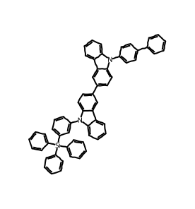 c1ccc(-c2ccc(-n3c4ccccc4c4cc(-c5ccc6c(c5)c5ccccc5n6-c5cccc([Si](c6ccccc6)(c6ccccc6)c6ccccc6)c5)ccc43)cc2)cc1